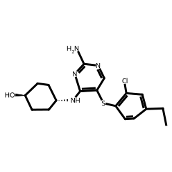 CCc1ccc(Sc2cnc(N)nc2N[C@H]2CC[C@H](O)CC2)c(Cl)c1